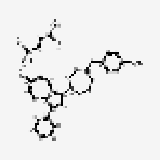 Cc1ccc(CN2CCCN(c3cc(-c4ccccc4)c4ccc(=O)ccn34)CC2)cc1.O=C(O)C=CC(=O)O